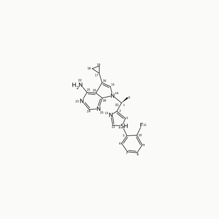 C[C@@H](C1=C[SH](c2ccccc2F)C=N1)n1cc(C2CC2)c2c(N)ncnc21